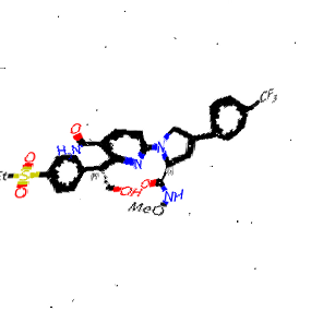 CCS(=O)(=O)c1ccc([C@@H](CO)c2nc(N3CC(c4ccc(C(F)(F)F)cc4)C[C@H]3C(=O)NOC)ccc2C(N)=O)cc1